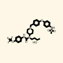 CCCCN(C(=O)Nc1ccc(OC(F)(F)F)cc1)C1CCN(Cc2ccc(Oc3ccc(NS(C)(=O)=O)cc3)cc2)CC1.Cl